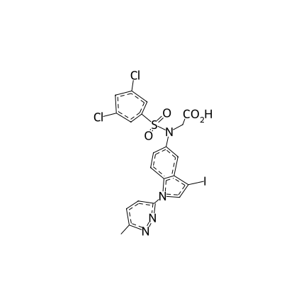 Cc1ccc(-n2cc(I)c3cc(N(CC(=O)O)S(=O)(=O)c4cc(Cl)cc(Cl)c4)ccc32)nn1